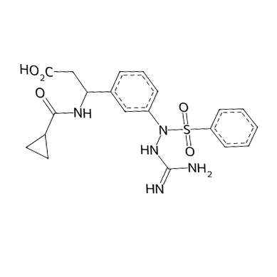 N=C(N)NN(c1cccc(C(CC(=O)O)NC(=O)C2CC2)c1)S(=O)(=O)c1ccccc1